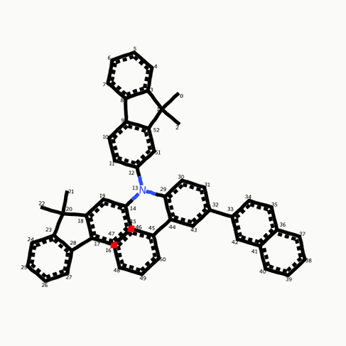 CC1(C)c2ccccc2-c2ccc(N(c3ccc4c(c3)C(C)(C)c3ccccc3-4)c3ccc(-c4ccc5ccccc5c4)cc3-c3ccccc3)cc21